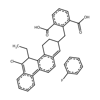 CCC1C(Cl)=c2ccccc2=c2ccc3c(c21)CCC(Cc1c(C(=O)O)cccc1C(=O)O)C=3.Fc1ccccc1